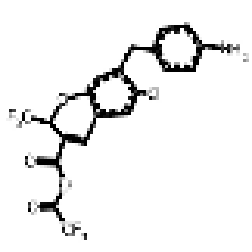 Nc1ccc(Cc2cc3c(cc2Cl)C=C(C(=O)OC(=O)C(F)(F)F)C(C(F)(F)F)O3)cc1